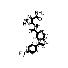 NC(=O)c1nc[nH]c1NC(=O)c1cn2c(-c3ccc(C(F)(F)F)cc3)cnc2cn1